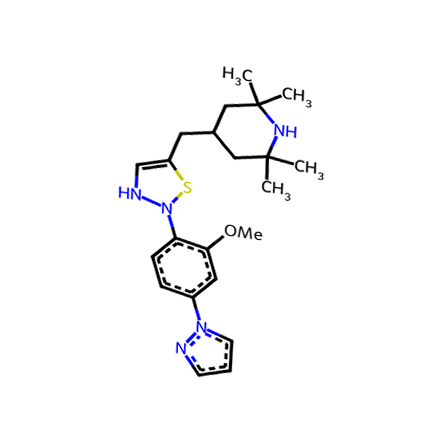 COc1cc(-n2cccn2)ccc1N1NC=C(CC2CC(C)(C)NC(C)(C)C2)S1